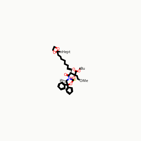 CCCCCCCC1(CCCCCCC=C[C@H](C(=O)N2C(=S)OC(c3ccccc3)(c3ccccc3)[C@@H]2C(C)C)[C@@](O)(CCOC)C(=O)OC(C)(C)C)OCCO1